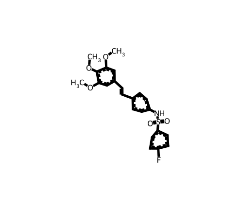 COc1cc(C=Cc2ccc(NS(=O)(=O)c3ccc(F)cc3)cc2)cc(OC)c1OC